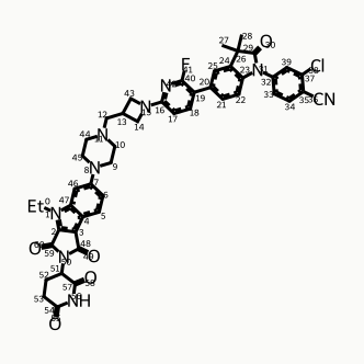 CCn1c2c(c3ccc(N4CCN(CC5CN(c6ccc(-c7ccc8c(c7)C(C)(C)C(=O)N8c7ccc(C#N)c(Cl)c7)c(F)n6)C5)CC4)cc31)C(=O)N(C1CCC(=O)NC1=O)C2=O